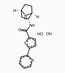 Cl.Cl.O=C(N[C@@H]1C[C@H]2CC[C@@H]1N2)c1ccc(-c2ccccn2)s1